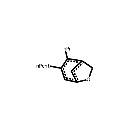 CCC[CH]Cc1cc2cc(c1CCC)CO2